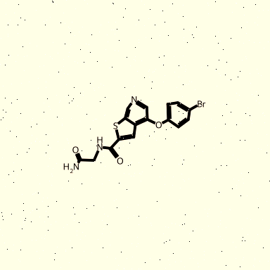 NC(=O)CNC(=O)c1cc2c(Oc3ccc(Br)cc3)cncc2s1